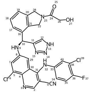 N#Cc1cnc2c(Cl)cc(N[C@H](c3c[nH]nn3)c3cccc4c3CN(C(=O)CO)C4)cc2c1Nc1ccc(F)c(Cl)c1